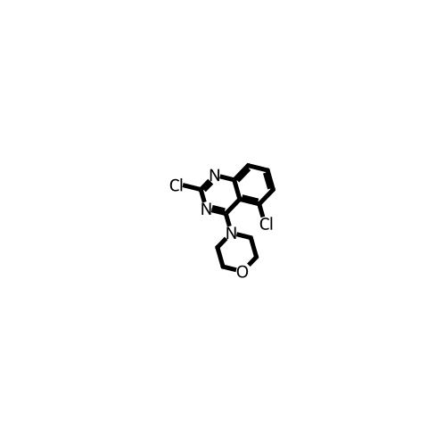 Clc1nc(N2CCOCC2)c2c(Cl)cccc2n1